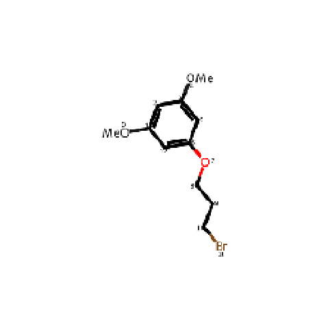 COc1cc(OC)cc(OCCCBr)c1